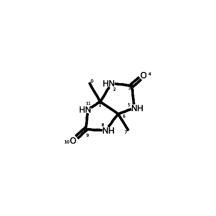 CC12NC(=O)NC1(C)NC(=O)N2